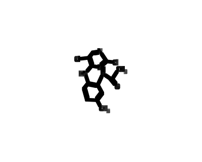 CC(=O)Nc1cc(C)ccc1Nc1nc(Cl)ncc1Cl